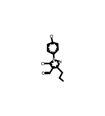 CCCc1nn(-c2ccc(Cl)cc2)c(Cl)c1C=O